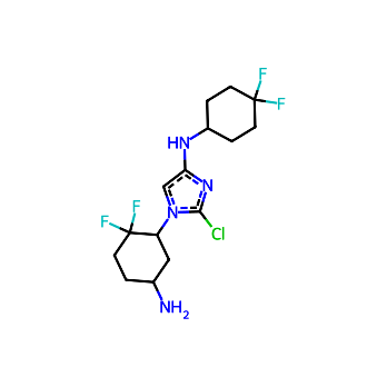 NC1CCC(F)(F)C(n2cc(NC3CCC(F)(F)CC3)nc2Cl)C1